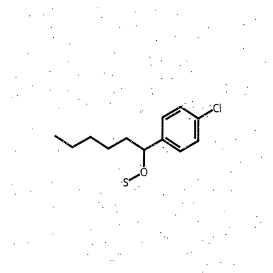 CCCCCC(O[S])c1ccc(Cl)cc1